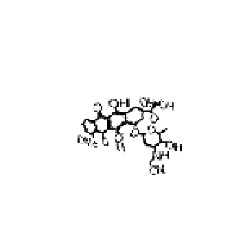 COc1cccc2c1C(=O)c1c(O)c3c(c(O)c1C2=O)C[C@@](O)(C(=O)CO)C[C@@H]3OC1CC(NCC#N)C(O)C(C)O1